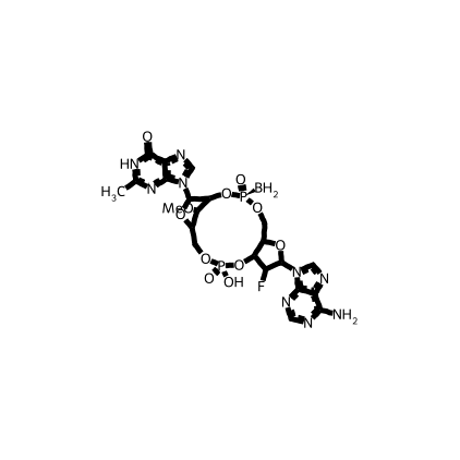 B[P@@]1(=O)OCC2OC(n3cnc4c(N)ncnc43)C(F)C2OP(=O)(O)OCC2OC(n3cnc4c(=O)[nH]c(C)nc43)C(O1)C2OC